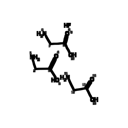 F.NCC(=O)O.NCC(=O)O.NCC(=O)O